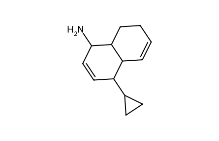 NC1C=CC(C2CC2)C2C=CCCC12